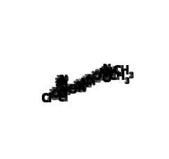 CC[C@H](C)n1ncn(-c2ccc(N3CCN(c4ccc(OC[C@@H]5CO[C@@](Cn6ccnc6)(c6ccc(Cl)cc6Cl)O5)cn4)CC3)cc2)c1=O